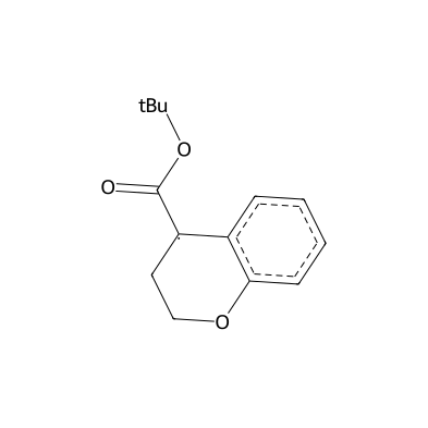 CC(C)(C)OC(=O)[C]1CCOc2ccccc21